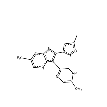 COC1=CN=C(n2c(-c3cc(C)on3)nc3cc(C(F)(F)F)cnc32)CN1